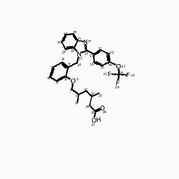 CC(COc1ccccc1Cn1c(-c2ccc(OC(F)(F)F)cc2)nc2ccccc21)CC(C)CC(=O)O